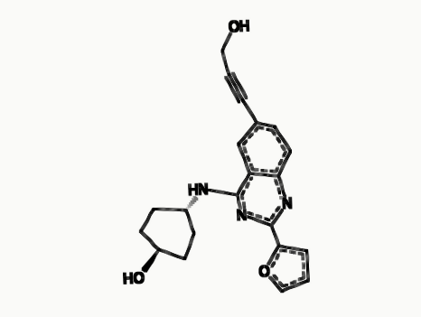 OCC#Cc1ccc2nc(-c3ccco3)nc(N[C@H]3CC[C@H](O)CC3)c2c1